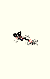 C[C@H](C/C=C\C(O)[C@@H](C)CCCO[Si](C)(C)C(C)(C)C)O[Si](c1ccccc1)(c1ccccc1)C(C)(C)C